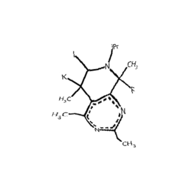 Cc1nc(C)c2c(n1)C(C)(F)N(C(C)C)C(I)[C]2(C)[K]